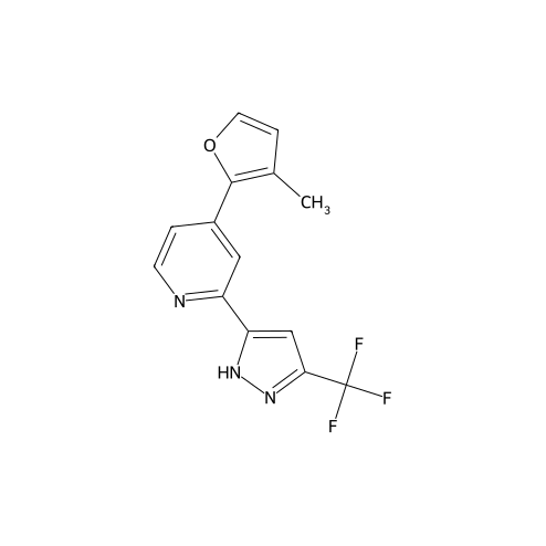 Cc1ccoc1-c1ccnc(-c2cc(C(F)(F)F)n[nH]2)c1